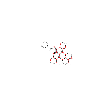 Cc1c(C)c(C)c2c(c1C)Cc1c(C)c(C)c(C)c(C)c1N2c1cc(Cl)ccc1-c1nc(-c2cccc(Cl)c2)nc(-c2ccc(Cl)cc2N2c3c(C)c(C)c(C)c(C)c3Cc3c(C)c(C)c(C)c(C)c32)n1